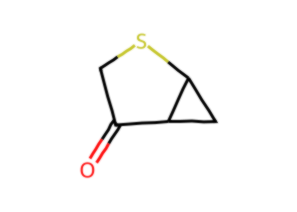 O=C1CSC2CC12